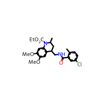 CCOC(=O)N1c2cc(OC)c(OC)cc2C(CNC(=O)c2cc(Cl)ccc2C)CC1C